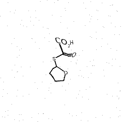 O=C(O)C(=O)SC1CCCO1